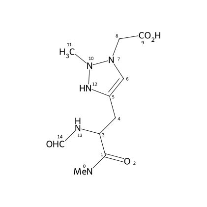 CNC(=O)C(CC1=CN(CC(=O)O)N(C)N1)NC=O